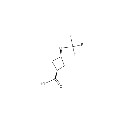 O=C(O)[C@H]1C[C@@H](OC(F)(F)F)C1